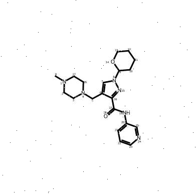 CN1CCN(Cc2cn(C3CCCCO3)nc2C(=O)Nc2cccnc2)CC1